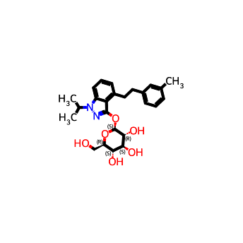 Cc1cccc(CCc2cccc3c2c(O[C@@H]2O[C@H](CO)[C@@H](O)[C@H](O)[C@H]2O)nn3C(C)C)c1